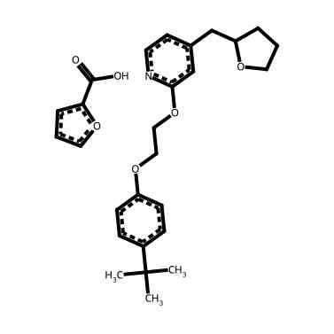 CC(C)(C)c1ccc(OCCOc2cc(CC3CCCO3)ccn2)cc1.O=C(O)c1ccco1